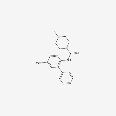 CSc1ccc(NC(=N)N2CCN(C)CC2)c(-c2ccccc2)c1